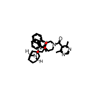 Cc1ncnc(C)c1C(=O)N1CCC(CCN2[C@@H]3CC[C@H]2CC(n2c(C)nc4ccccc42)C3)(c2ccccc2)CC1